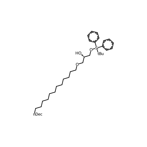 CCCCCCCCCCCCCCCCCCCCCCOC[C@@H](O)CO[Si](c1ccccc1)(c1ccccc1)C(C)(C)C